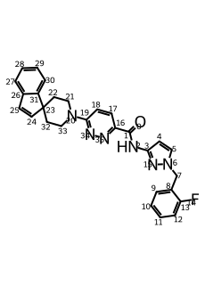 O=C(Nc1ccn(Cc2ccccc2F)n1)c1ccc(N2CCC3(C=Cc4ccccc43)CC2)nn1